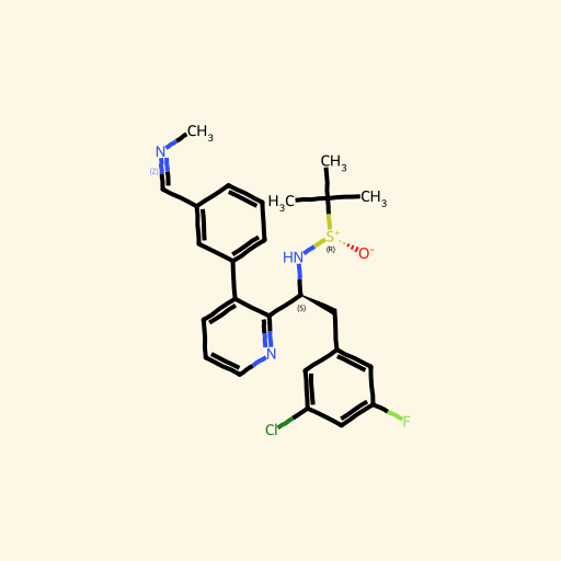 C/N=C\c1cccc(-c2cccnc2[C@H](Cc2cc(F)cc(Cl)c2)N[S@@+]([O-])C(C)(C)C)c1